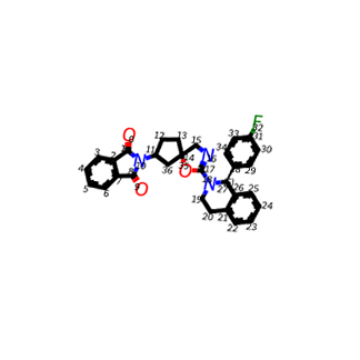 O=C1c2ccccc2C(=O)N1C1CCC2(CN=C(N3CCc4ccccc4[C@@H]3c3ccc(F)cc3)O2)C1